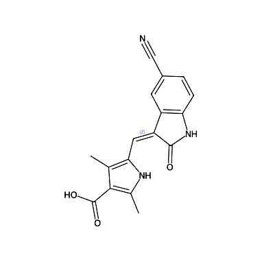 Cc1[nH]c(/C=C2\C(=O)Nc3ccc(C#N)cc32)c(C)c1C(=O)O